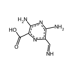 N=Cc1nc(C(=O)O)c(N)nc1N